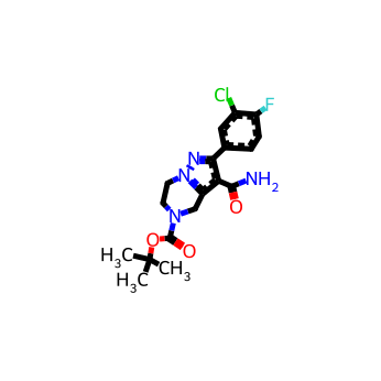 CC(C)(C)OC(=O)N1CCn2nc(-c3ccc(F)c(Cl)c3)c(C(N)=O)c2C1